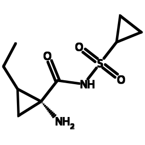 CCC1C[C@]1(N)C(=O)NS(=O)(=O)C1CC1